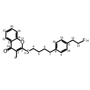 Cc1c(SCCCCc2ccc(CCF)cc2)oc2ccccc2c1=O